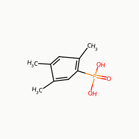 Cc1cc(C)c(P(=O)(O)O)cc1C